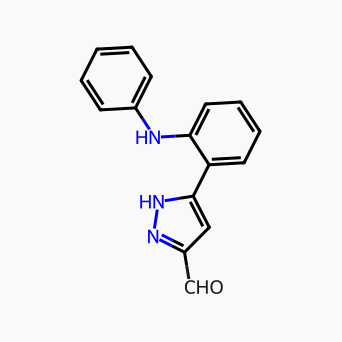 O=Cc1cc(-c2ccccc2Nc2ccccc2)[nH]n1